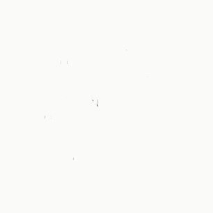 CC1CC1N(CCl)C(=O)O